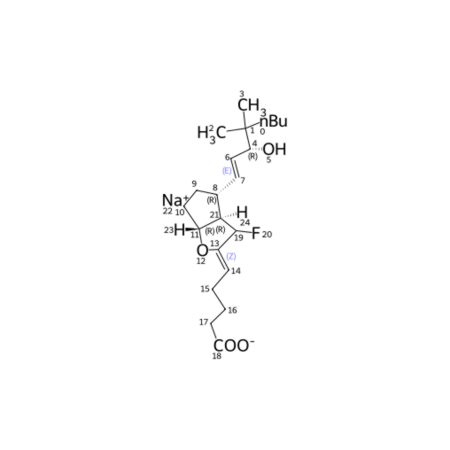 CCCCC(C)(C)[C@H](O)/C=C/[C@H]1CC[C@H]2O/C(=C\CCCC(=O)[O-])C(F)[C@H]12.[Na+]